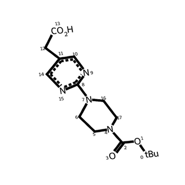 CC(C)(C)OC(=O)N1CCN(c2ncc(CC(=O)O)cn2)CC1